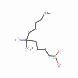 CC(=O)NCCCCC(N)(CCCCB(O)O)C(=O)O